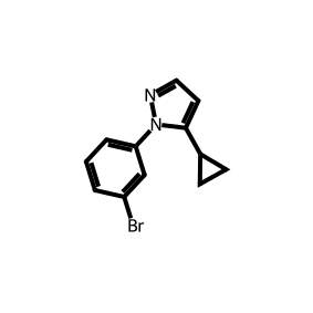 Brc1cccc(-n2nccc2C2CC2)c1